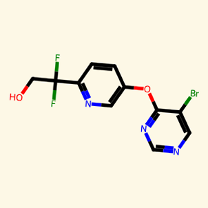 OCC(F)(F)c1ccc(Oc2ncncc2Br)cn1